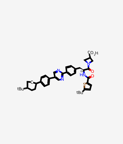 CC(C)(C)c1ccc(C(=O)N[C@@H](Cc2ccc(-c3ncc(-c4ccc(C5CCC(C(C)(C)C)CC5)cc4)cn3)cc2)C(=O)N2CC(C(=O)O)C2)s1